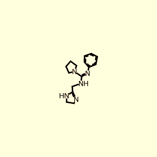 c1ccc(N=C(NCC2=NCCN2)N2CCCC2)cc1